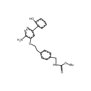 CC(C)(C)OC(=O)NCc1ccc(CCOc2cc(-c3ccccc3O)nnc2N)cc1